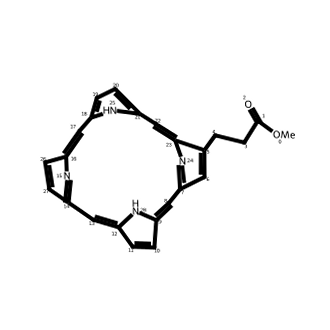 COC(=O)CCC1=Cc2cc3ccc(cc4nc(cc5ccc(cc1n2)[nH]5)C=C4)[nH]3